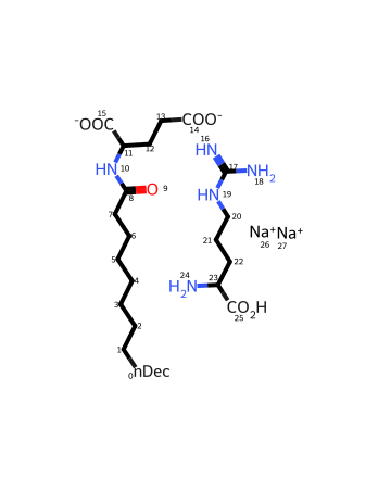 CCCCCCCCCCCCCCCCCC(=O)NC(CCC(=O)[O-])C(=O)[O-].N=C(N)NCCCC(N)C(=O)O.[Na+].[Na+]